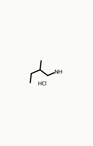 CCC(C)C[NH].Cl